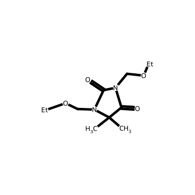 CCOCN1C(=O)N(COCC)C(C)(C)C1=O